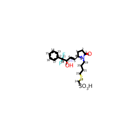 O=C1CC[C@H](/C=C/C(O)C(F)(F)c2ccccc2)N1CCCCSCS(=O)(=O)O